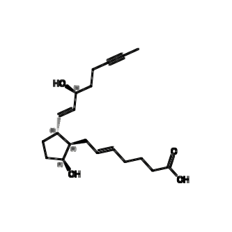 CC#CCC[C@H](O)C=C[C@H]1CC[C@H](O)[C@@H]1CC=CCCCC(=O)O